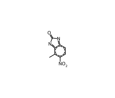 Cc1c([N+](=O)[O-])ccc2c1=NC(=O)N=2